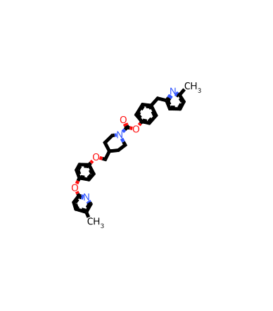 Cc1ccc(Oc2ccc(OCC3CCN(C(=O)Oc4ccc(Cc5cccc(C)n5)cc4)CC3)cc2)nc1